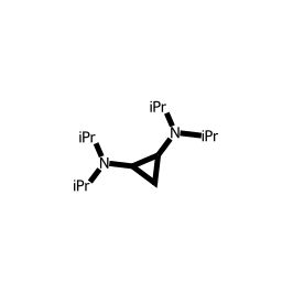 CC(C)N(C(C)C)C1CC1N(C(C)C)C(C)C